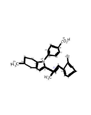 CCc1ccccc1/C=C(\C)c1cc2c(n1-c1ccc(C(=O)O)cc1)CCC(C)C2